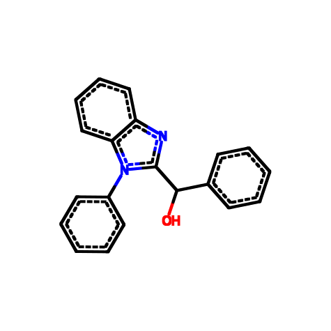 OC(c1ccccc1)c1nc2ccccc2n1-c1ccccc1